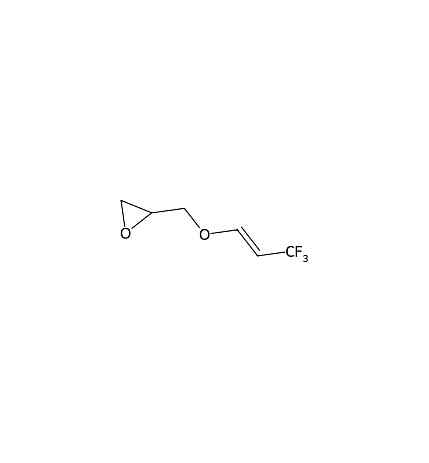 FC(F)(F)C=COCC1CO1